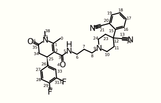 CC1=C(C(=O)NCCCN2CCC(C#N)(c3ccccc3C#N)CC2)[C@@H](c2ccc(F)c(F)c2)CC(=O)N1C